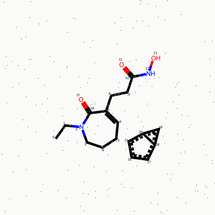 CCN1CCCC=C(CCC(=O)NO)C1=O.c1cc2cc-2c1